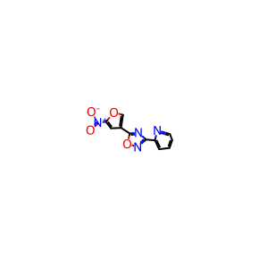 O=[N+]([O-])c1cc(-c2nc(-c3ccccn3)no2)co1